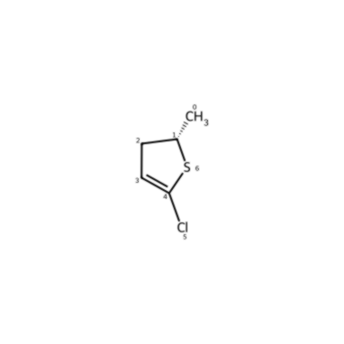 C[C@H]1CC=C(Cl)S1